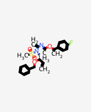 C=C[C@@H](CN(C(=C)/N=C(\C)OC(=C)c1ccc(F)cc1)S(C)(=O)=O)OCc1ccccc1